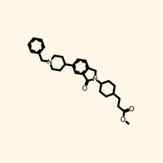 COC(=O)CCC1CCC(N2Cc3ccc(C4CCN(Cc5ccccc5)CC4)cc3C2=O)CC1